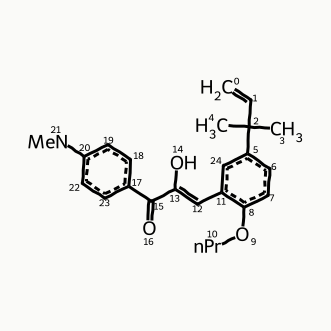 C=CC(C)(C)c1ccc(OCCC)c(C=C(O)C(=O)c2ccc(NC)cc2)c1